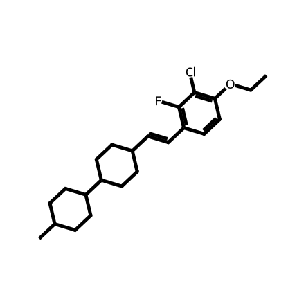 CCOc1ccc(/C=C/C2CCC(C3CCC(C)CC3)CC2)c(F)c1Cl